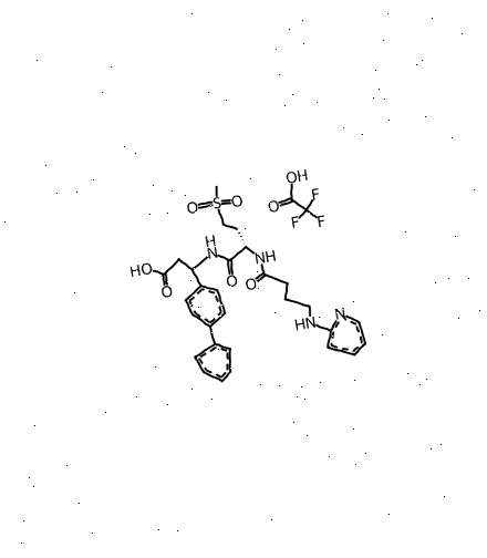 CS(=O)(=O)CC[C@H](NC(=O)CCCNc1ccccn1)C(=O)NC(CC(=O)O)c1ccc(-c2ccccc2)cc1.O=C(O)C(F)(F)F